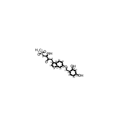 CS(=O)(=O)CC(=N)C(=O)Cc1csc2cc(OCc3ccc(O)cc3O)ccc12